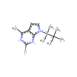 Cc1nc(Cl)nc2c1ccn2[Si](C)(C)C(C)(C)C